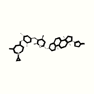 C=C1C=C([C@H]2CC[C@]3(C)C4CCC5C[C@@H](C[C@H]6C[C@H](C)[C@H](C[C@@H]7C[C@@H](C)[C@@H](CC8CCN(C9CC9)CC(C)C8)[C@@H](C)C7)[C@H](C)O6)CC[C@]5(C)C4CC[C@]23C)CC1